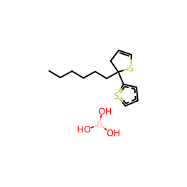 CCCCCCC1(c2cccs2)CC=CS1.OB(O)O